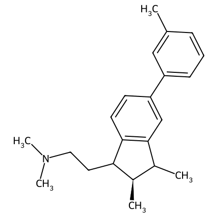 Cc1cccc(-c2ccc3c(c2)C(C)[C@@H](C)C3CCN(C)C)c1